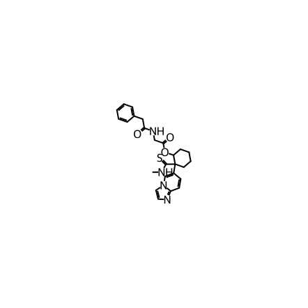 CNC(=S)C1(c2ccc3nccn3c2)CCCCC1OC(=O)CNC(=O)Cc1ccccc1